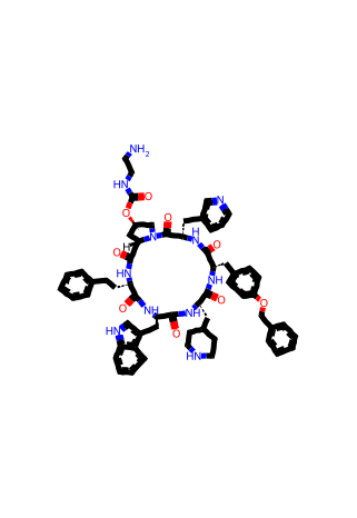 NCCNC(=O)O[C@@H]1C[C@H]2C(=O)N[C@@H](CCc3ccccc3)C(=O)N[C@H](Cc3c[nH]c4ccccc34)C(=O)N[C@@H](CC3CCNCC3)C(=O)N[C@@H](Cc3ccc(OCc4ccccc4)cc3)C(=O)N[C@@H](Cc3cccnc3)C(=O)N2C1